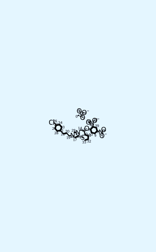 CS(=O)(=O)[O-].O=[N+]([O-])c1ccc(OC(Cn2cc[n+](CC=Cc3ccc(Cl)cc3)c2)c2cccs2)c([N+](=O)[O-])c1